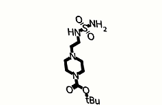 CC(C)(C)OC(=O)N1CCN(CCNS(N)(=O)=O)CC1